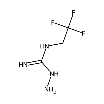 N=C(NN)NCC(F)(F)F